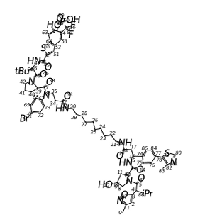 Cc1cc(C(C(=O)N2C[C@H](O)C[C@H]2C(=O)NC(CC(=O)NCCCCCCCCCCNC(=O)CCN(C(=O)C2CCCN2C(=O)C(NC(=O)c2cc3cc(C(F)(F)P(=O)(O)O)ccc3s2)C(C)(C)C)c2ccc(Br)cc2)c2ccc(-c3scnc3C)cc2)C(C)C)on1